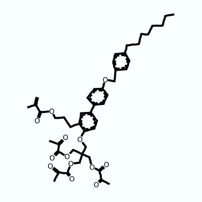 C=C(C)C(=O)OCCCc1cc(-c2ccc(OCc3ccc(CCCCCCCC)cc3)cc2)ccc1OCC(COC(=O)C(C)=O)(COC(=O)C(C)=O)COC(=O)C(C)=O